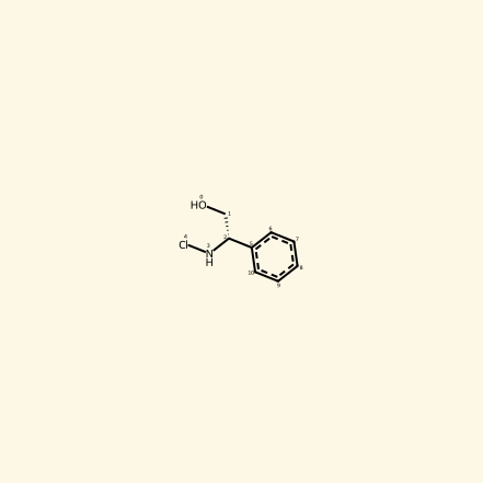 OC[C@@H](NCl)c1ccccc1